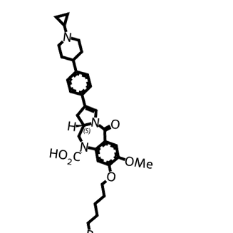 COc1cc2c(cc1OCCCCCBr)N(C(=O)O)C[C@@H]1CC(c3ccc(C4CCN(C5CC5)CC4)cc3)=CN1C2=O